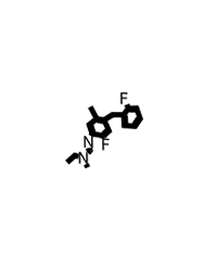 CCN(C)/C=N/c1cc(C)c(Cc2ccccc2F)cc1F